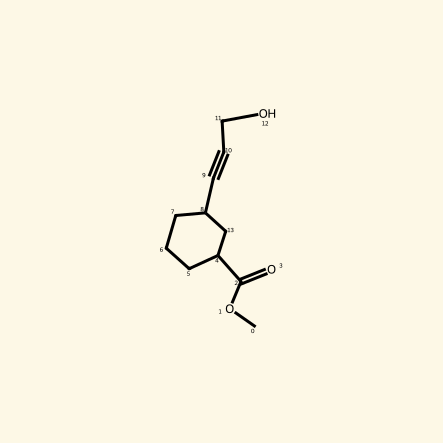 COC(=O)C1CCCC(C#CCO)C1